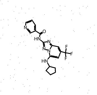 O=C(Nc1nc2cc(C(F)(F)F)cc(NC3CCCC3)n2n1)c1cccnc1